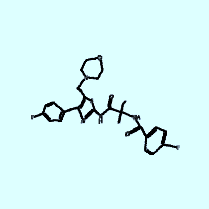 CC(C)(NC(=O)c1ccc(F)cc1)C(=O)Nc1nc(-c2ccc(F)cc2)c(CN2CCOCC2)s1